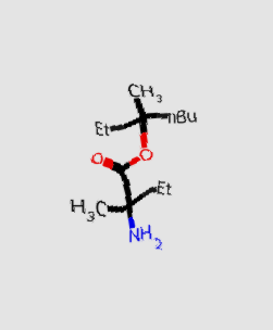 CCCCC(C)(CC)OC(=O)C(C)(N)CC